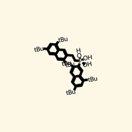 CC(C)(C)c1cc(C(C)(C)C)c2cc(CCP(O)(O)(O)c3cc4c(C(C)(C)C)cc(C(C)(C)C)cc4cc3C(C)(C)C)c(C(C)(C)C)cc2c1